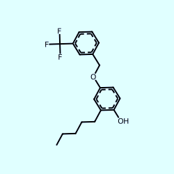 CCCCCc1cc(OCc2cccc(C(F)(F)F)c2)ccc1O